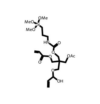 C=CC(=O)OCC(COC(C)=O)(COC(=O)NCCC[Si](OC)(OC)OC)COC(O)C=C